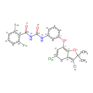 CC1(C)OC2=C(Oc3cccc(NC(=O)NC(=O)c4c(F)cccc4F)c3)C=C(Cl)CC2=C1Cl